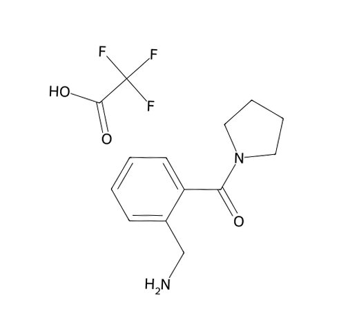 NCc1ccccc1C(=O)N1CCCC1.O=C(O)C(F)(F)F